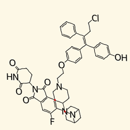 O=C1CCC(N2C(=O)c3cc(F)c(N4CC5CC(C4)N5CC4CCN(CCOc5ccc(C(=C(CCCl)c6ccccc6)c6ccc(O)cc6)cc5)CC4)cc3C2=O)C(=O)N1